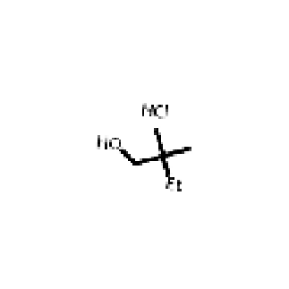 CCC(C)(C)CO.Cl